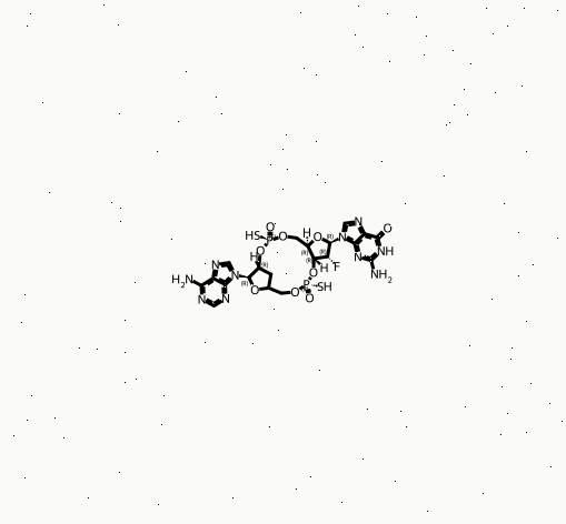 Nc1nc2c(ncn2[C@@H]2O[C@@H]3CO[P@](=O)(S)O[C@@H]4CC(CO[P@@](=O)(S)O[C@H]3[C@H]2F)O[C@H]4n2cnc3c(N)ncnc32)c(=O)[nH]1